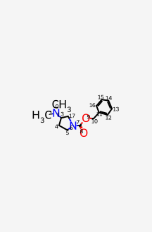 CN(C)C1CCN(C(=O)OCc2ccccc2)C1